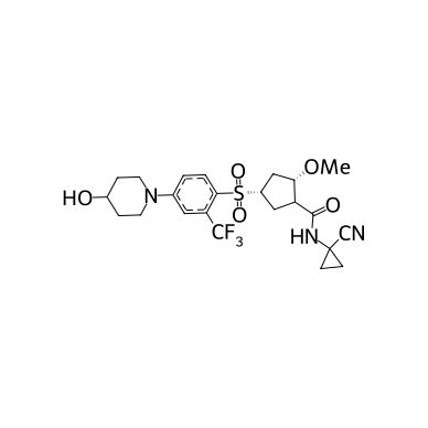 CO[C@H]1C[C@@H](S(=O)(=O)c2ccc(N3CCC(O)CC3)cc2C(F)(F)F)CC1C(=O)NC1(C#N)CC1